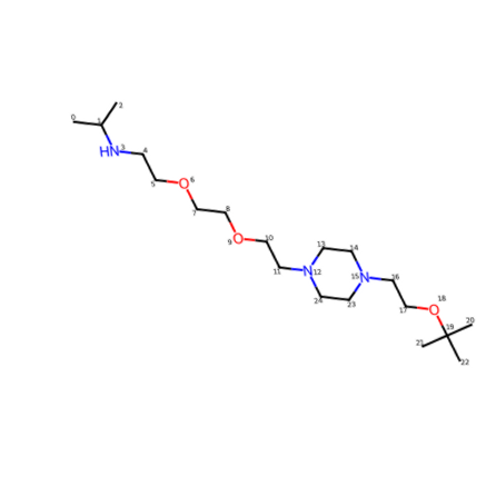 CC(C)NCCOCCOCCN1CCN(CCOC(C)(C)C)CC1